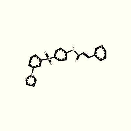 O=C(/C=C/c1cccnc1)Nc1ccc(S(=O)(=O)c2cccc(-n3cccn3)c2)cc1